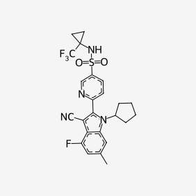 Cc1cc(F)c2c(C#N)c(-c3ccc(S(=O)(=O)NC4(C(F)(F)F)CC4)cn3)n(C3CCCC3)c2c1